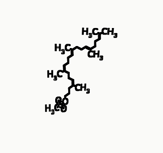 CC(C)=CCCC(C)=CCCC(C)=CCCC=C(C)CCC=C(C)CCCOS(C)(=O)=O